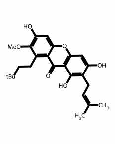 COc1c(O)cc2oc3cc(O)c(CC=C(C)C)c(O)c3c(=O)c2c1CCC(C)(C)C